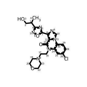 CC(CO)c1noc(-c2ncn3c2c(=O)n(CCN2CCOCC2)c2cc(Cl)ccc23)n1